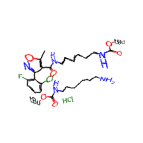 CC(C)(C)OC(=O)NCCCCCCN.Cc1onc(-c2c(F)cccc2Cl)c1C(=O)NCCCCCCNC(=O)OC(C)(C)C.Cl